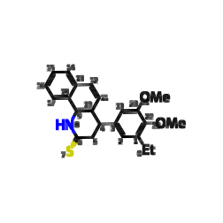 CCc1cc(C2CC(=S)Nc3c2ccc2ccccc32)cc(OC)c1OC